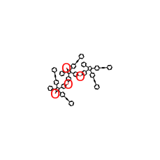 O=C1C(c2ccccc2)=C(c2ccc(C#Cc3ccccc3)cc2)C(c2ccc(Oc3ccc(C4=C(c5ccccc5)C(=O)C(c5ccc(C#Cc6ccccc6)cc5)=C4c4ccc(Oc5ccc(C6=C(c7ccccc7)CC(c7ccc(C#Cc8ccccc8)cc7)=C6c6ccc(C#Cc7ccccc7)cc6)cc5)cc4)cc3)cc2)=C1c1ccc(C#Cc2ccccc2)cc1